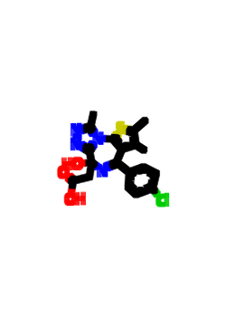 Cc1sc2c(c1C)C(c1ccc(Cl)cc1)=NC(O)(CC(=O)O)c1nnc(C)n1-2